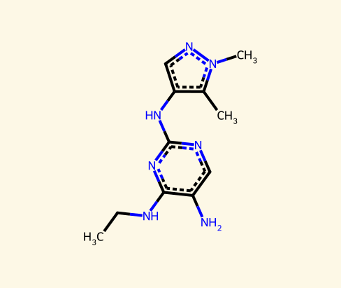 CCNc1nc(Nc2cnn(C)c2C)ncc1N